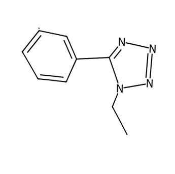 CCn1nnnc1-c1c[c]ccc1